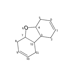 C1=CCC2C(C1)OC1CC=CCC12